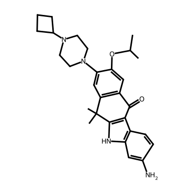 CC(C)Oc1cc2c(cc1N1CCN(C3CCC3)CC1)C(C)(C)c1[nH]c3cc(N)ccc3c1C2=O